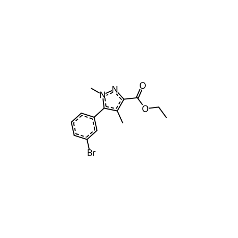 CCOC(=O)c1nn(C)c(-c2cccc(Br)c2)c1C